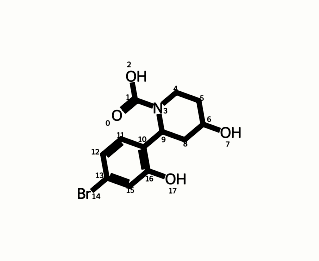 O=C(O)N1CCC(O)CC1c1ccc(Br)cc1O